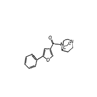 O=C(c1coc(-c2ccccc2)c1)N1CCN2CCC1CC2